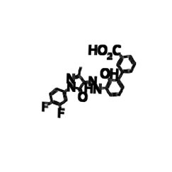 CC1=NN(c2ccc(F)c(F)c2)C(=O)/C1=N\Nc1cccc(-c2cccc(C(=O)O)c2)c1O